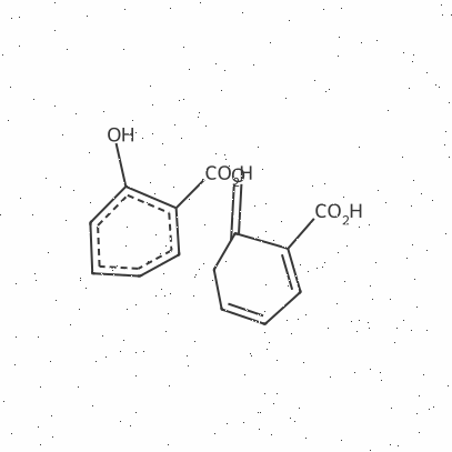 O=C(O)C1=CC=CCC1=O.O=C(O)c1ccccc1O